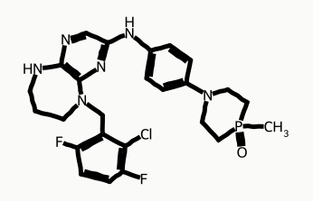 CP1(=O)CCN(c2ccc(Nc3cnc4c(n3)N(Cc3c(F)ccc(F)c3Cl)CCCN4)cc2)CC1